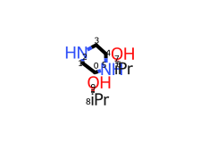 C1CNCCN1.CC(C)O.CC(C)O